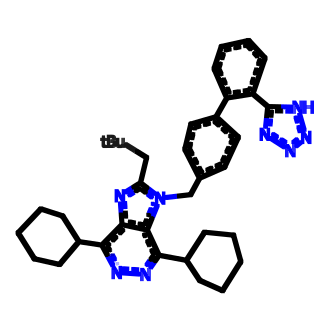 CC(C)(C)Cc1nc2c(C3CCCCC3)nnc(C3CCCCC3)c2n1Cc1ccc(-c2ccccc2-c2nnn[nH]2)cc1